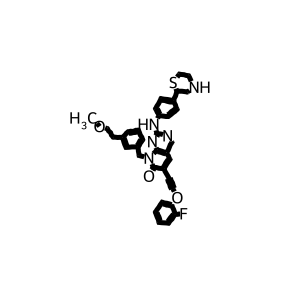 COCCc1cccc(Cn2c(=O)c(C#COc3ccccc3F)cc3cnc(Nc4ccc(C5CNCCS5)cc4)nc32)c1